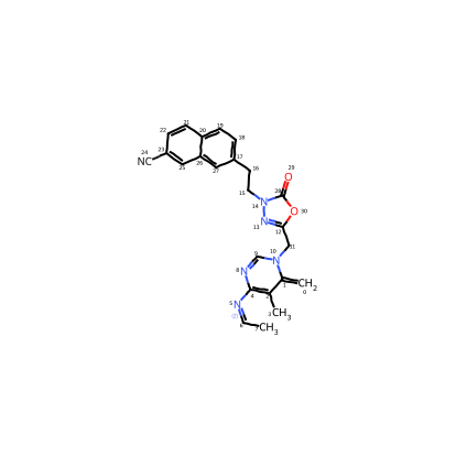 C=C1C(C)=C(/N=C\C)N=CN1Cc1nn(CCc2ccc3ccc(C#N)cc3c2)c(=O)o1